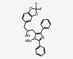 CCCCn1c(-c2ccccc2)nc(-c2ccccc2)c1CN(CCC)Cc1ccc2c(c1)OC(F)(F)O2